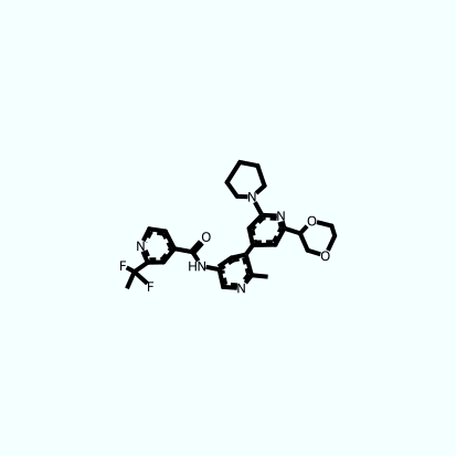 Cc1ncc(NC(=O)c2ccnc(C(C)(F)F)c2)cc1-c1cc(C2COCCO2)nc(N2CCCCC2)c1